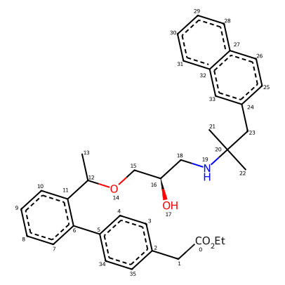 CCOC(=O)Cc1ccc(-c2ccccc2C(C)OC[C@H](O)CNC(C)(C)Cc2ccc3ccccc3c2)cc1